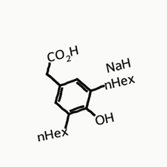 CCCCCCc1cc(CC(=O)O)cc(CCCCCC)c1O.[NaH]